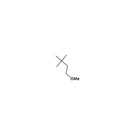 COCCC(C)(C)C